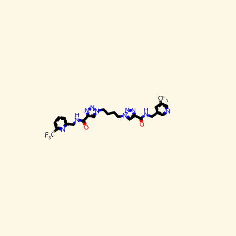 O=C(NCc1cncc(C(F)(F)F)c1)c1cn(CCCCn2cc(C(=O)NCc3cccc(C(F)(F)F)n3)nn2)nn1